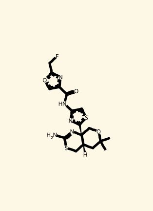 CC1(C)C[C@@H]2CSC(N)=N[C@]2(c2nc(NC(=O)c3coc(CF)n3)cs2)CO1